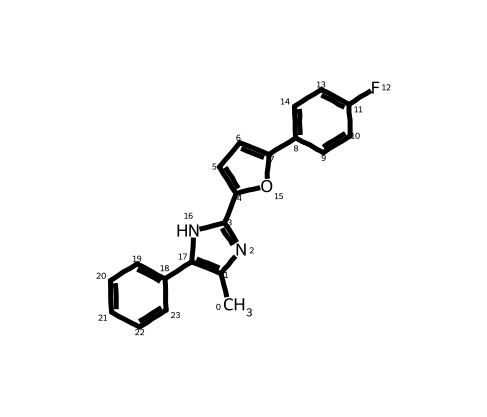 Cc1nc(-c2ccc(-c3ccc(F)cc3)o2)[nH]c1-c1ccccc1